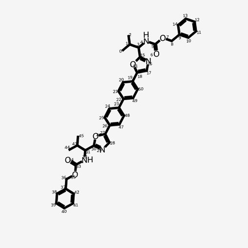 CC(C)C(NC(=O)OCc1ccccc1)c1ncc(-c2ccc(-c3ccc(-c4cnc(C(NC(=O)OCc5ccccc5)C(C)C)o4)cc3)cc2)o1